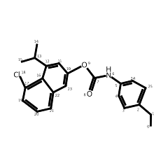 CCc1ccc(NC(=O)Oc2cc(C(C)C)c3c(Cl)cccc3c2)cc1